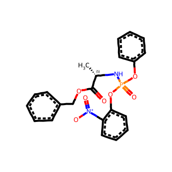 C[C@H](NP(=O)(Oc1ccccc1)Oc1ccccc1[N+](=O)[O-])C(=O)OCc1ccccc1